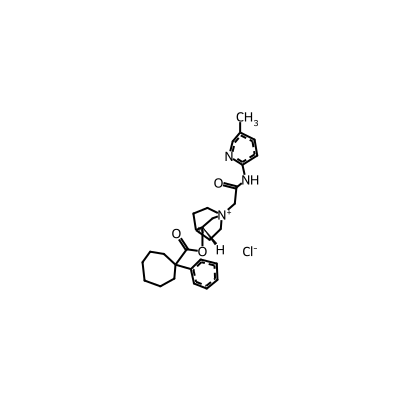 Cc1ccc(NC(=O)C[N+]23CCC(CC2)[C@@H](OC(=O)C2(c4ccccc4)CCCCCC2)C3)nc1.[Cl-]